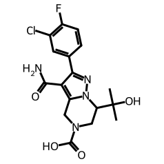 CC(C)(O)C1CN(C(=O)O)Cc2c(C(N)=O)c(-c3ccc(F)c(Cl)c3)nn21